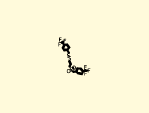 O=S(=O)(C/C=C/SSCc1ccc(C(F)(F)F)cc1)Cc1ccc(C(F)(F)F)cc1